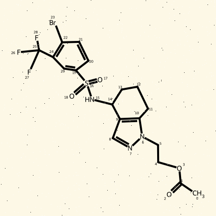 CC(=O)OCCn1ncc2c1CCCC2NS(=O)(=O)c1ccc(Br)c(C(F)(F)F)c1